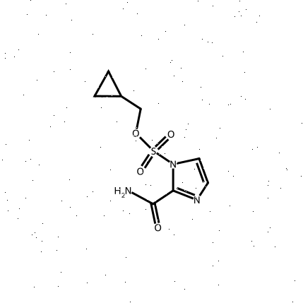 NC(=O)c1nccn1S(=O)(=O)OCC1CC1